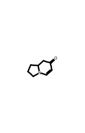 O=C1C=CN2CCCC2C1